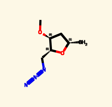 B[C@H]1C[C@@H](OC)[C@@H](CN=[N+]=[N-])O1